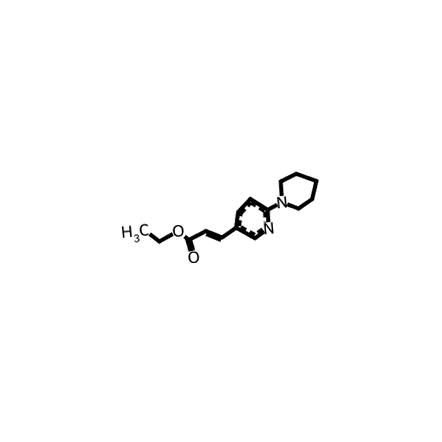 CCOC(=O)C=Cc1ccc(N2CCCCC2)nc1